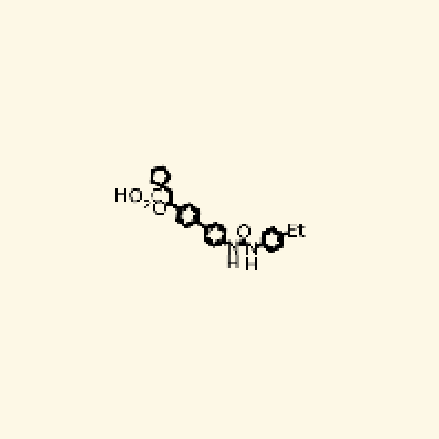 CCc1ccc(NC(=O)Nc2ccc(-c3ccc(C(=O)CC4(C(=O)O)CCCC4)cc3)cc2)cc1